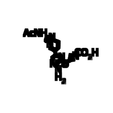 CC(=O)Nc1cn2cc(-c3cnc(N)c(OC4CN(C(=O)O)C4)n3)ccc2n1